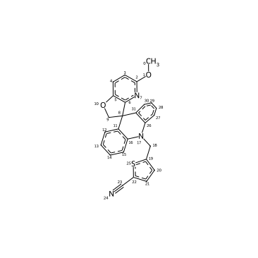 COc1ccc2c(n1)C1(CO2)c2ccccc2N(Cc2ccc(C#N)s2)c2ccccc21